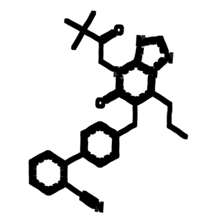 CCCc1c(Cc2ccc(-c3ccccc3C#N)cc2)c(=O)n(CC(=O)C(C)(C)C)c2ncnn12